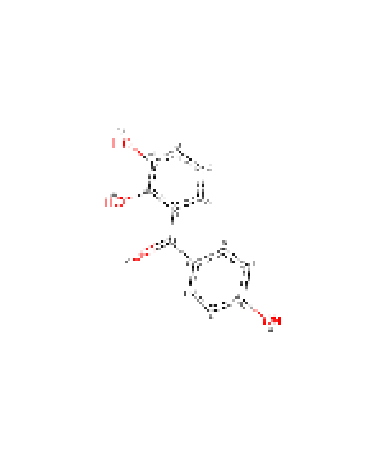 O=C(c1ccc(O)cc1)c1cccc(O)c1O